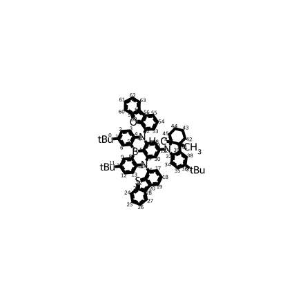 CC(C)(C)c1ccc2c(c1)B1c3cc(C(C)(C)C)ccc3N(c3cccc4c3sc3ccccc34)c3cc(N4c5ccc(C(C)(C)C)cc5C5(C)CCCCC45C)cc(c31)N2c1cccc2c1oc1ccccc12